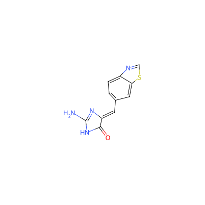 NC1=N/C(=C\c2ccc3ncsc3c2)C(=O)N1